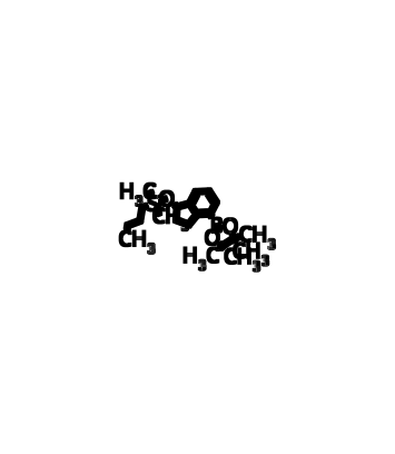 CCCC[Si](C)(C)OC1CCc2c(B3OC(C)(C)C(C)(C)O3)cccc21